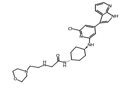 O=C(CNCCN1CCOCC1)N[C@H]1CC[C@H](Nc2cc(-c3c[nH]c4ncccc34)cc(Cl)n2)CC1